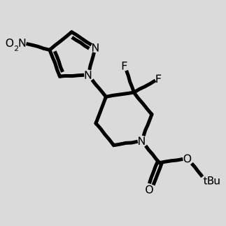 CC(C)(C)OC(=O)N1CCC(n2cc([N+](=O)[O-])cn2)C(F)(F)C1